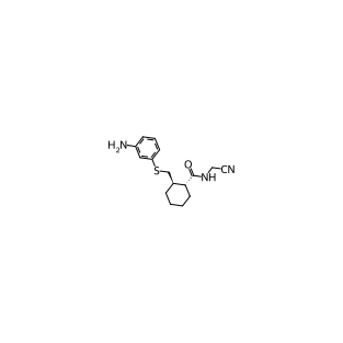 N#CCNC(=O)[C@@H]1CCCC[C@H]1CSc1cccc(N)c1